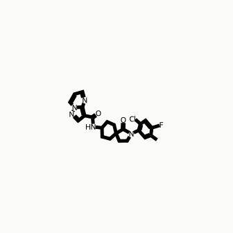 Cc1cc(N2CCC3(CCC(NC(=O)c4cnn5cccnc45)CC3)C2=O)c(Cl)cc1F